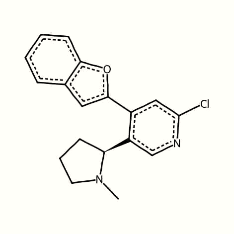 CN1CCC[C@H]1c1cnc(Cl)cc1-c1cc2ccccc2o1